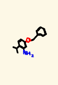 CC(C)c1ccc(OCc2ccccc2)cc1N